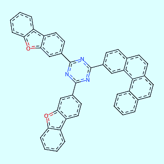 c1ccc2c(c1)ccc1ccc3ccc(-c4nc(-c5ccc6c(c5)oc5ccccc56)nc(-c5ccc6c(c5)oc5ccccc56)n4)cc3c12